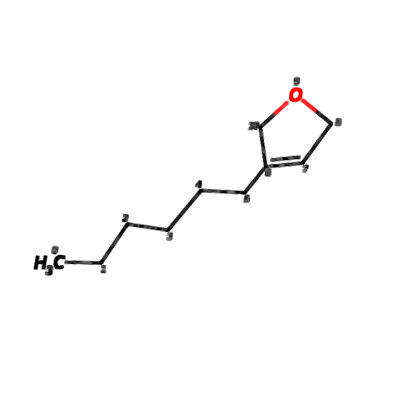 CCCCCCC1=CCOC1